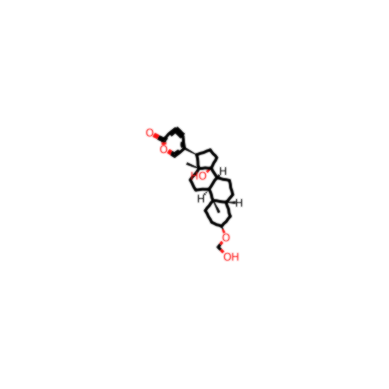 C[C@]12CC[C@H](OCO)C[C@H]1CC[C@@H]1[C@@H]2CC[C@]2(C)[C@@H](c3c#cc(=O)oc3)CC[C@]12O